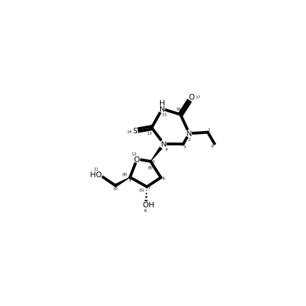 CCN1CN([C@H]2C[C@H](O)[C@@H](CO)O2)C(=S)NC1=O